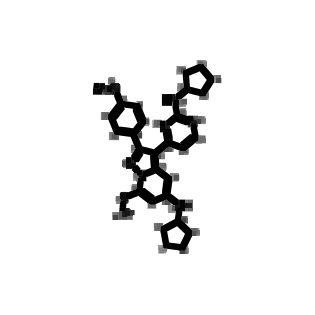 COc1ccc(-c2nn3c(SC(C)C)cc(NC4CCCC4)cc3c2-c2ccnc(NC3CCCC3)n2)cc1